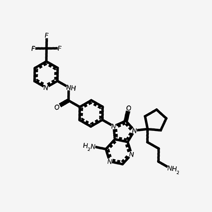 NCCCC1(n2c(=O)n(-c3ccc(C(=O)Nc4cc(C(F)(F)F)ccn4)cc3)c3c(N)ncnc32)CCCC1